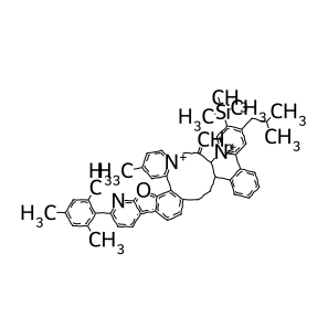 C=C1C[n+]2ccc(C)cc2-c2c(ccc3c2oc2nc(-c4c(C)cc(C)cc4C)ccc23)CCC2c3ccccc3-c3cc(CC(C)C)c([Si](C)(C)C)c[n+]3C12